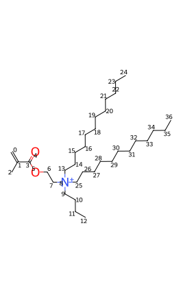 C=C(C)C(=O)OCC[N+](CCCC)(CCCCCCCCCCCC)CCCCCCCCCCCC